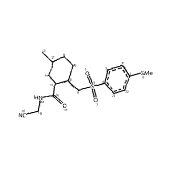 CSc1ccc(S(=O)(=O)CC2CCC(C)CC2C(=O)NCC#N)cc1